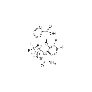 COc1c([C@H]2[C@H](C(N)=O)N[C@@](C)(C(F)(F)F)[C@H]2C)ccc(F)c1F.O=C(O)c1ccccn1